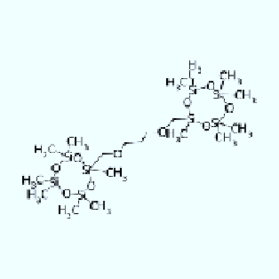 C[Si]1(C)O[Si](C)(C)O[Si](C)(COCCCOC[Si]2(C)O[Si](C)(C)O[Si](C)(C)O[Si](C)(C)O2)O[Si](C)(C)O1